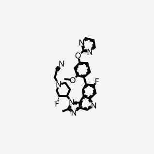 COc1cc(Oc2ncccn2)ccc1-c1cc2c(cc1F)ncc1nc(C)n(C3CCN(CC#N)C[C@H]3F)c12